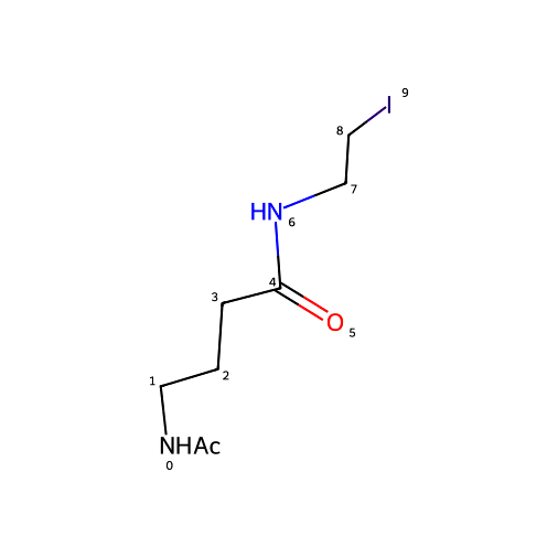 CC(=O)NCCCC(=O)NCCI